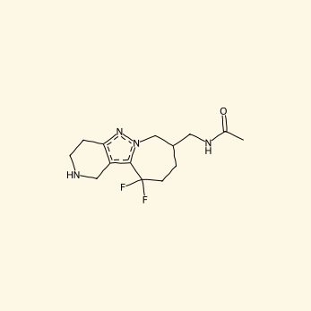 CC(=O)NCC1CCC(F)(F)c2c3c(nn2C1)CCNC3